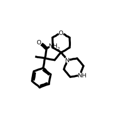 CC(CC1(N2CCNCC2)CCOCC1)(C(N)=O)c1ccccc1